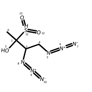 CC(O)(C(CN=[N+]=[N-])N=[N+]=[N-])[SH](=O)=O